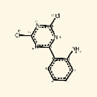 Nc1ccccc1-c1nc(Cl)nc(Cl)n1